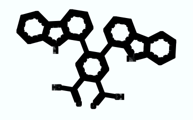 O=C(O)c1cc(-c2cccc3c2[nH]c2ccccc23)c(-c2cccc3c2[nH]c2ccccc23)cc1C(=O)O